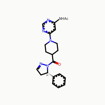 CC(=O)Nc1cc(N2CCC(C(=O)N3N=CC[C@H]3c3ccccc3)CC2)ncn1